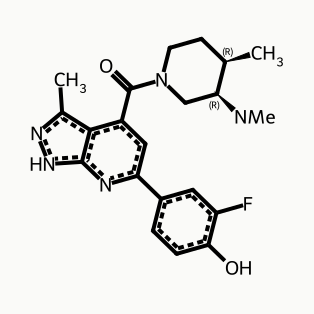 CN[C@H]1CN(C(=O)c2cc(-c3ccc(O)c(F)c3)nc3[nH]nc(C)c23)CC[C@H]1C